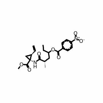 C=C[C@@H]1C[C@]1(NC(=O)[C@@H](C)CC(CC)OC(=O)c1ccc([N+](=O)[O-])cc1)C(=O)OC